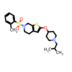 Cc1ccccc1S(=O)(=O)N1CCc2cc(OC3CCN(CC(C)C)CC3)sc2C1